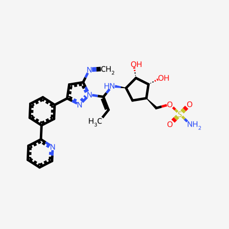 C=Nc1cc(-c2cccc(-c3ccccn3)c2)nn1/C(=C\C)N[C@@H]1C[C@H](COS(N)(=O)=O)[C@@H](O)[C@H]1O